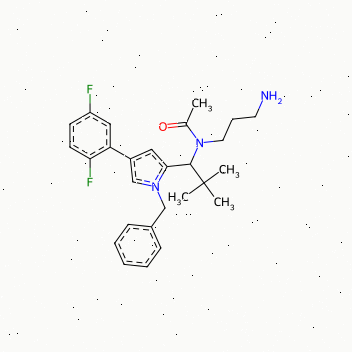 CC(=O)N(CCCN)C(c1cc(-c2cc(F)ccc2F)cn1Cc1ccccc1)C(C)(C)C